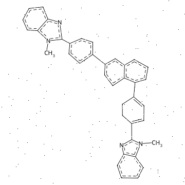 Cn1c(C2=CC=C(c3cccc4cc(-c5ccc(-c6nc7ccccc7n6C)cc5)ccc34)CC2)nc2ccccc21